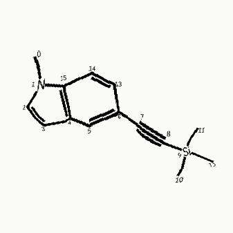 Cn1ccc2cc(C#C[Si](C)(C)C)ccc21